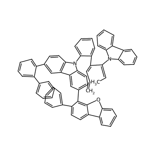 C=C/C=C(\C(=C/C)n1c2ccccc2c2ccccc21)c1ccccc1-n1c2ccc(-c3ccccc3-c3ccccc3)cc2c2cc(-c3c(-c4ccccc4)ccc4c3oc3ccccc34)ccc21